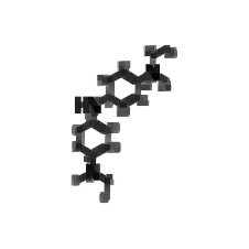 CCN(C)c1ccc(Nc2ccc(N(C)CC)cc2)cc1